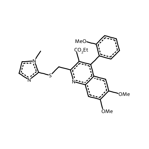 CCOC(=O)c1c(CSc2nccn2C)nc2cc(OC)c(OC)cc2c1-c1ccccc1OC